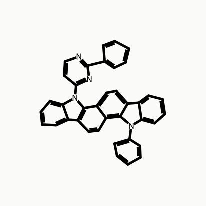 c1ccc(-c2nccc(-n3c4ccccc4c4ccc5c(ccc6c7ccccc7n(-c7ccccc7)c65)c43)n2)cc1